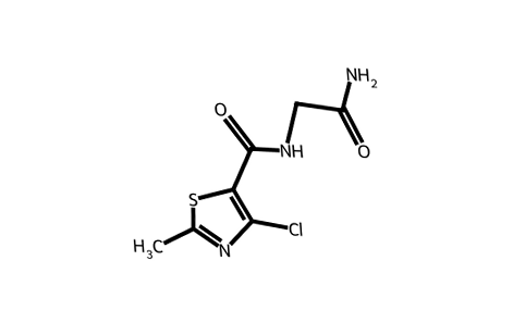 Cc1nc(Cl)c(C(=O)NCC(N)=O)s1